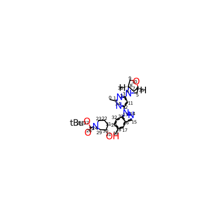 Cc1nc(N2C[C@H]3C[C@@H]2CO3)cc(-n2ncc3cc(C)c([C@H]4CCN(C(=O)OC(C)(C)C)C[C@H]4O)cc32)n1